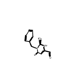 O=Cc1cc(=O)n(Cc2ccccc2)c(=O)[nH]1